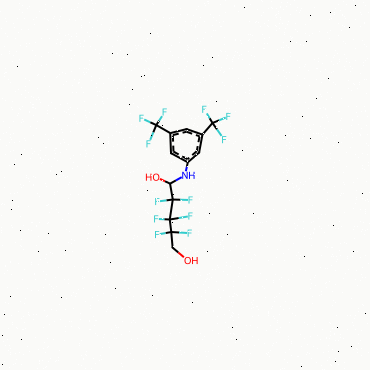 OCC(F)(F)C(F)(F)C(F)(F)C(O)Nc1cc(C(F)(F)F)cc(C(F)(F)F)c1